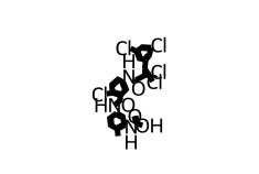 Cc1ccc(NC(=O)c2cc(NC(=O)C3C(c4cc(Cl)cc(Cl)c4)C3(Cl)Cl)ccc2Cl)cc1NC(=O)O